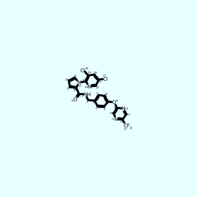 O=C(NCc1ccc(Oc2cnc(C(F)(F)F)cn2)cc1)c1cccn1-c1ncc(Cl)cc1Cl